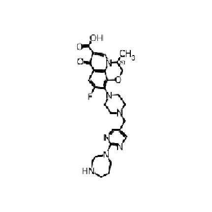 C[C@H]1COc2c(N3CCN(Cc4cnc(N5CCCNCC5)nc4)CC3)c(F)cc3c(=O)c(C(=O)O)cn1c23